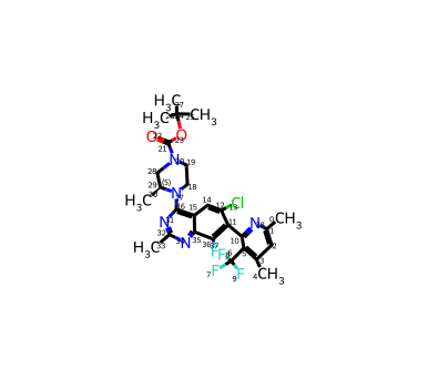 Cc1cc(C)c(C(F)(F)F)c(-c2c(Cl)cc3c(N4CCN(C(=O)OC(C)(C)C)C[C@@H]4C)nc(C)nc3c2F)n1